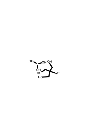 CCCC(CO)(CO)CO.OP(O)O